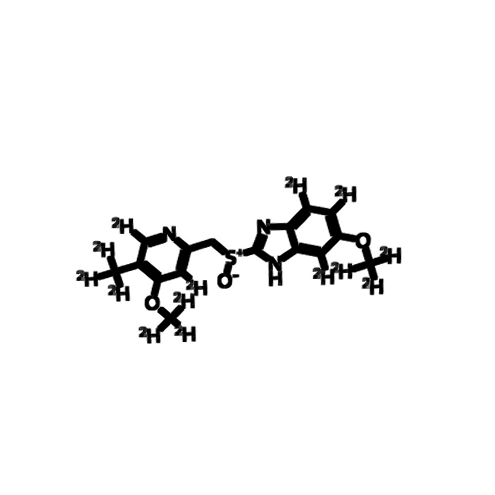 [2H]c1nc(C[S+]([O-])c2nc3c([2H])c([2H])c(OC([2H])([2H])[2H])c([2H])c3[nH]2)c([2H])c(OC([2H])([2H])[2H])c1C([2H])([2H])[2H]